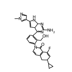 Cn1cc(C2=CC3C(c4cccc(-n5ccc6c(c5=O)C(F)=CC(C5CC5)C6)c4CO)=NC(N)=NC3N2)cn1